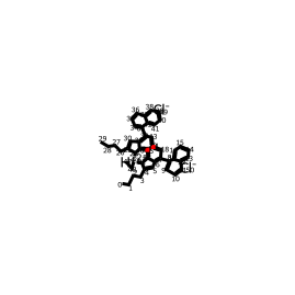 CCCCC1=Cc2c(-c3cccc4ccccc34)cccc2[CH]1[Hf+2]1([CH]2C(CCCC)=Cc3c(-c4cccc5ccccc45)cccc32)[CH2][CH2]1.[Cl-].[Cl-]